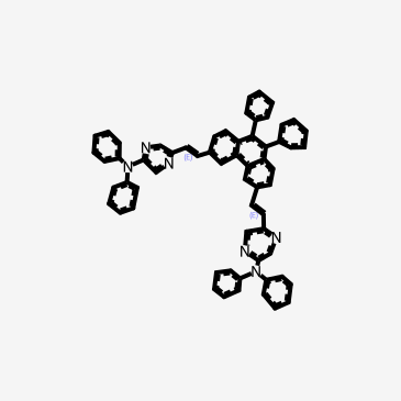 C(=C\c1cnc(N(c2ccccc2)c2ccccc2)cn1)/c1ccc2c(-c3ccccc3)c(-c3ccccc3)c3ccc(/C=C/c4cnc(N(c5ccccc5)c5ccccc5)cn4)cc3c2c1